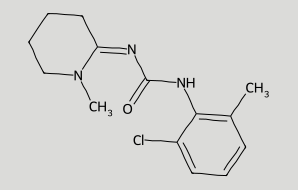 Cc1cccc(Cl)c1NC(=O)N=C1CCCCN1C